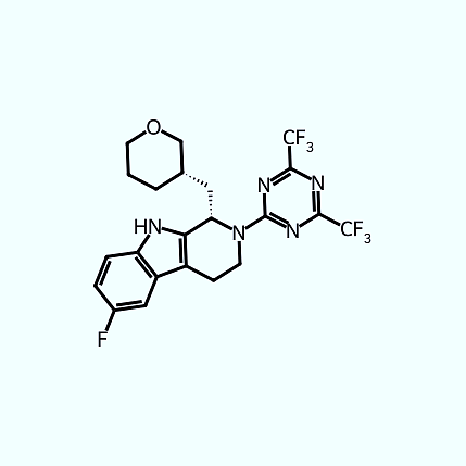 Fc1ccc2[nH]c3c(c2c1)CCN(c1nc(C(F)(F)F)nc(C(F)(F)F)n1)[C@H]3C[C@@H]1CCCOC1